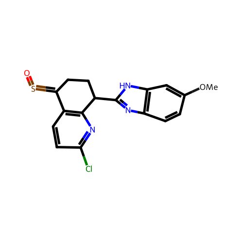 COc1ccc2nc(C3CCC(=S=O)c4ccc(Cl)nc43)[nH]c2c1